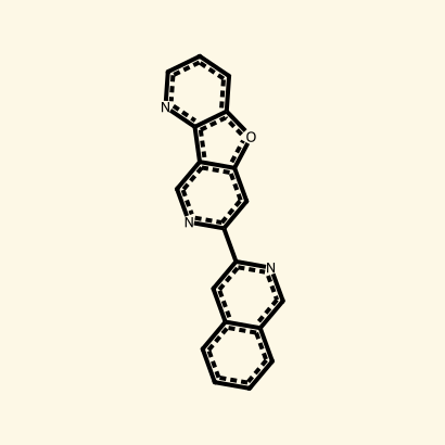 c1ccc2cc(-c3cc4oc5cccnc5c4cn3)ncc2c1